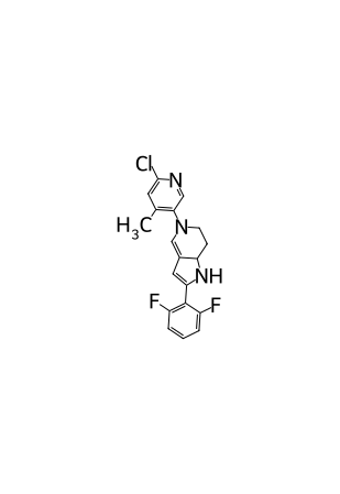 Cc1cc(Cl)ncc1N1C=C2C=C(c3c(F)cccc3F)NC2CC1